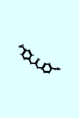 CCCCc1ccc(CC(=O)Cc2ccc(CCCC)cc2)cc1